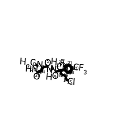 Cc1nc(C(=O)NNC(=O)C(C)(CCCCl)c2ccc(C(F)(F)F)cc2F)cc(=O)[nH]1